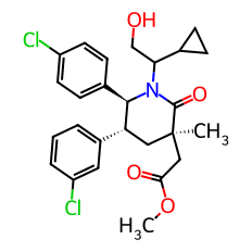 COC(=O)C[C@@]1(C)C[C@H](c2cccc(Cl)c2)[C@@H](c2ccc(Cl)cc2)N(C(CO)C2CC2)C1=O